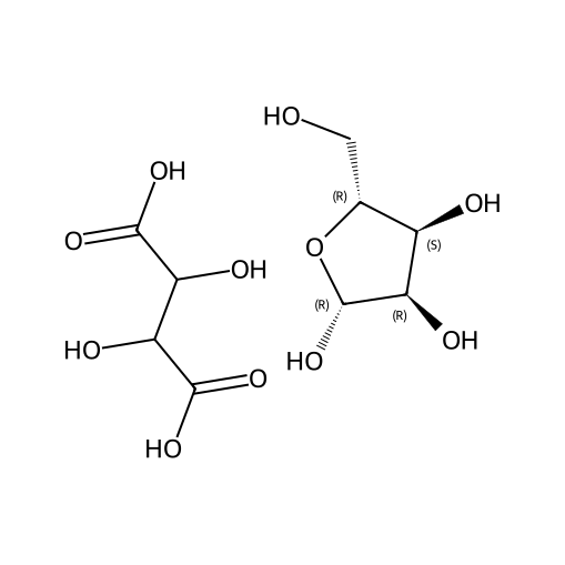 O=C(O)C(O)C(O)C(=O)O.OC[C@H]1O[C@@H](O)[C@H](O)[C@@H]1O